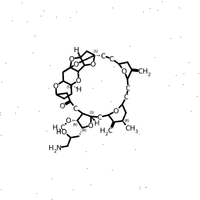 C=C1CC2CC[C@@]34C[C@H]5OC6C(O3)C3OC(CC[C@@H]3OC6C5O4)CC(=O)CC3[C@H](CC4OC(CCC1O2)C[C@@H](C)C4=C)O[C@H](CC(O)CN)[C@@H]3OC